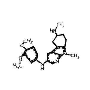 CNC1CCc2c(c3cc(Nc4ccc(OC)c(OC)c4)cnc3n2C)C1